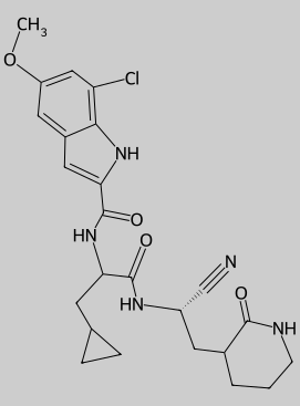 COc1cc(Cl)c2[nH]c(C(=O)NC(CC3CC3)C(=O)N[C@H](C#N)CC3CCCNC3=O)cc2c1